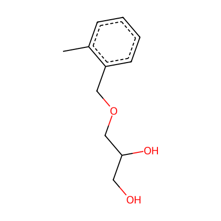 Cc1ccccc1COCC(O)CO